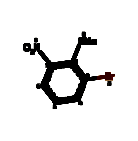 CSc1c(Br)cccc1[N+](=O)[O-]